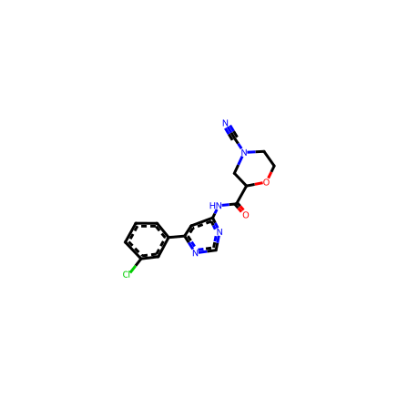 N#CN1CCOC(C(=O)Nc2cc(-c3cccc(Cl)c3)ncn2)C1